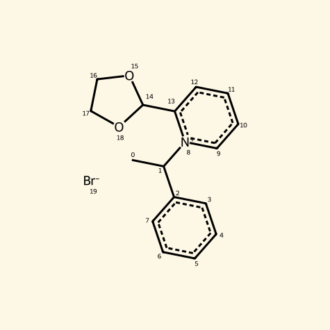 CC(c1ccccc1)[n+]1ccccc1C1OCCO1.[Br-]